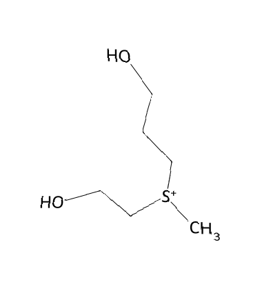 C[S+](CCO)CCCO